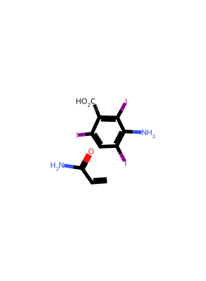 C=CC(N)=O.Nc1c(I)cc(I)c(C(=O)O)c1I